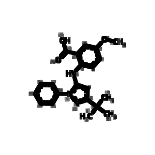 COc1ccc(Nc2cc(C(C)(C)C)nn2-c2ccccc2)c(C(=O)O)c1